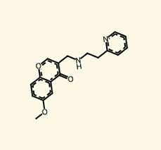 COc1ccc2occ(CNCCc3ccccn3)c(=O)c2c1